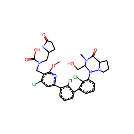 COc1nc(-c2cccc(-c3cccc(N4[C](CO)N(C)C(=O)C5CCCN54)c3Cl)c2Cl)cc(Cl)c1CN(CC1CCC(=O)N1)C(=O)O